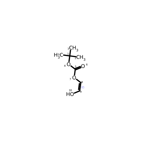 CC(C)(C)OC(=O)O/C=C\O